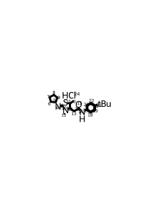 CC1SC(=NC2CCCC2)N(C)C1CC(=O)Nc1ccc(C(C)(C)C)cc1.Cl